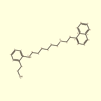 OCCc1ccccc1NCCCCCCOCCc1cccc2ccccc12